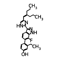 CCCC(=Cc1c[nH]c(-c2n[nH]c3c(F)c(-c4ccc(O)cc4CC)ccc23)n1)CCC